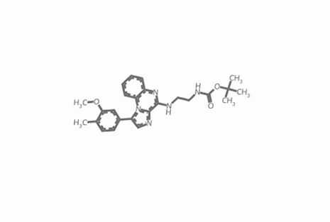 COc1cc(-c2cnc3c(NCCNC(=O)OC(C)(C)C)nc4ccccc4n23)ccc1C